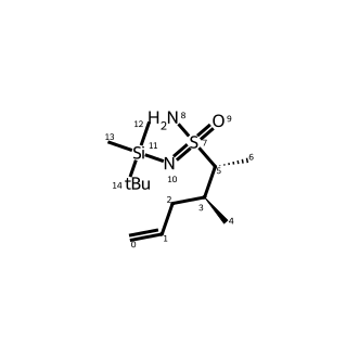 C=CC[C@H](C)[C@@H](C)S(N)(=O)=N[Si](C)(C)C(C)(C)C